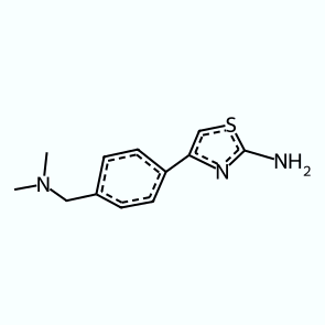 CN(C)Cc1ccc(-c2csc(N)n2)cc1